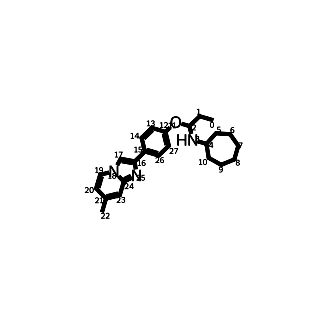 CCC(NC1CCCCCC1)Oc1ccc(-c2cn3ccc(C)cc3n2)cc1